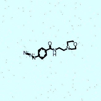 [N-]=[N+]=Nc1ccc(C(=O)NCCN2CCOCC2)cc1